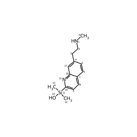 CNCCc1ccc2ccc([Si](C)(C)O)nc2c1